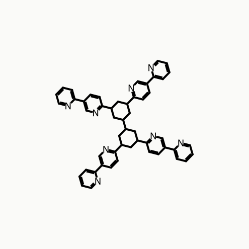 c1ccc(-c2ccc(C3CC(c4ccc(-c5ccccn5)cn4)CC(C4CC(c5ccc(-c6ccccn6)cn5)CC(c5ccc(-c6ccccn6)cn5)C4)C3)nc2)nc1